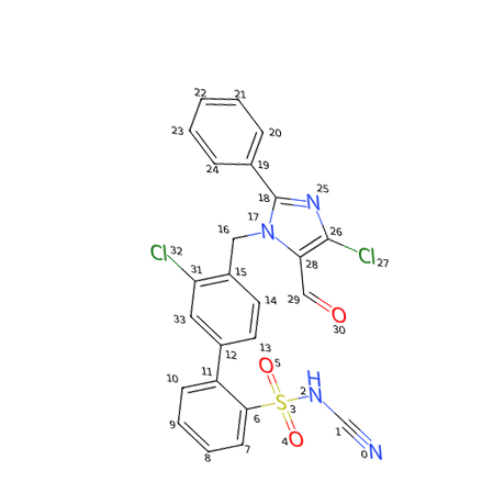 N#CNS(=O)(=O)c1ccccc1-c1ccc(Cn2c(-c3ccccc3)nc(Cl)c2C=O)c(Cl)c1